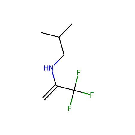 C=C(NCC(C)C)C(F)(F)F